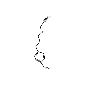 C#CCNCCCc1ccc(OC)cc1